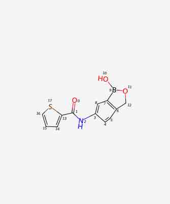 O=C(Nc1ccc2c(c1)B(O)OC2)c1cccs1